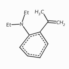 C=C(C)c1ccccc1N(CC)CC